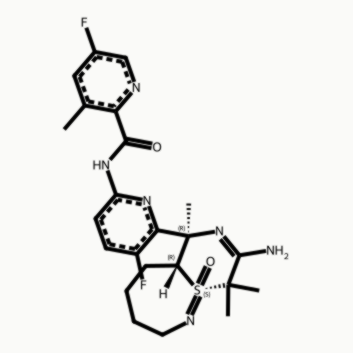 Cc1cc(F)cnc1C(=O)Nc1ccc(F)c([C@@]2(C)N=C(N)C(C)(C)[S@]3(=O)=NCCCC[C@H]23)n1